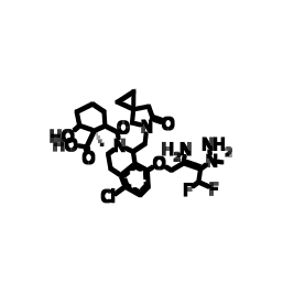 CN(N)/C(=C(\N)COc1ccc(Cl)c2c1C(CN1CC3(CC3)CC1=O)N(C(=O)C1CCCC(O)[C@]1(C)C(=O)O)CC2)C(F)F